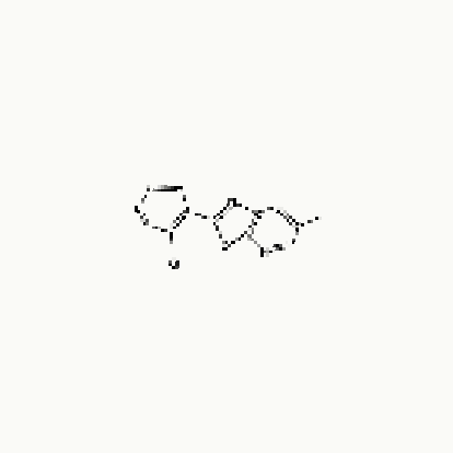 Cc1cnc2oc(-c3ccncc3Cl)nc2c1